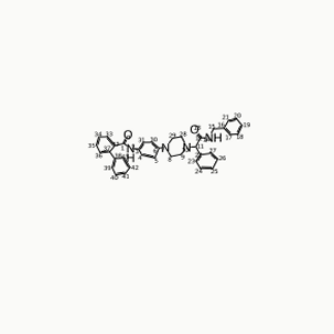 O=C(Nc1ccc(N2CCN(C(C(=O)NCc3ccccc3)c3ccccc3)CC2)cc1)c1ccccc1-c1ccccc1